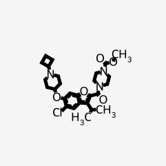 COC(=O)N1CCN(C(=O)c2oc3cc(OC4CCN(C5CCC5)CC4)c(Cl)cc3c2C(C)C)CC1